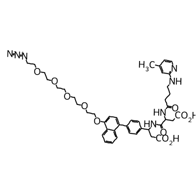 Cc1ccnc(NCCCC(=O)NC(CC(=O)O)C(=O)NC(CC(=O)O)c2ccc(-c3ccc(OCCOCCOCCOCCOCCN=[N+]=[N-])c4ccccc34)cc2)c1